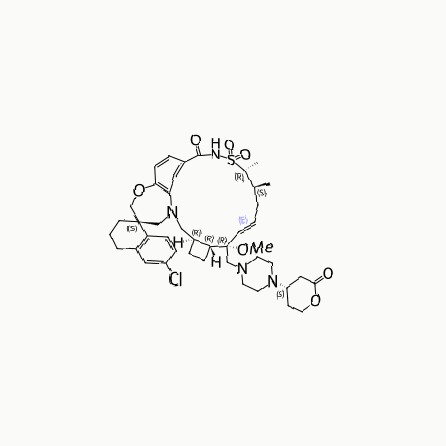 CO[C@@]1(CN2CCN([C@H]3CCOC(=O)C3)CC2)/C=C/C[C@H](C)[C@@H](C)S(=O)(=O)NC(=O)c2ccc3c(c2)N(C[C@@H]2CC[C@H]21)C[C@@]1(CCCc2cc(Cl)ccc21)CO3